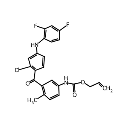 C=CCOC(=O)Nc1ccc(C)c(C(=O)c2ccc(Nc3ccc(F)cc3F)cc2Cl)c1